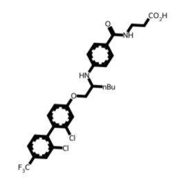 CCCCC(COc1ccc(-c2ccc(C(F)(F)F)cc2Cl)c(Cl)c1)Nc1ccc(C(=O)NCCC(=O)O)cc1